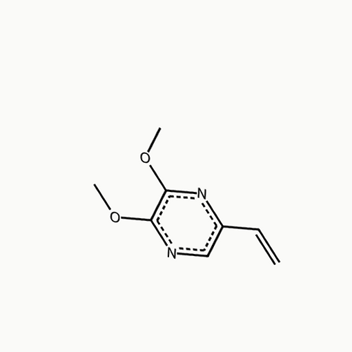 C=Cc1cnc(OC)c(OC)n1